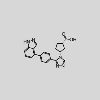 O=C(O)[C@H]1CC[C@@H](n2cnnc2-c2ccc(-c3cccc4[nH]ncc34)cc2)C1